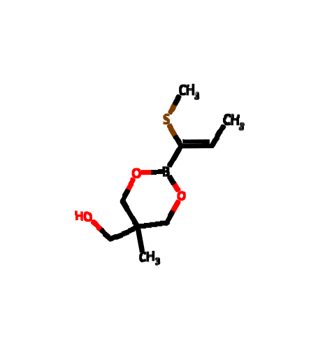 C/C=C(\SC)B1OCC(C)(CO)CO1